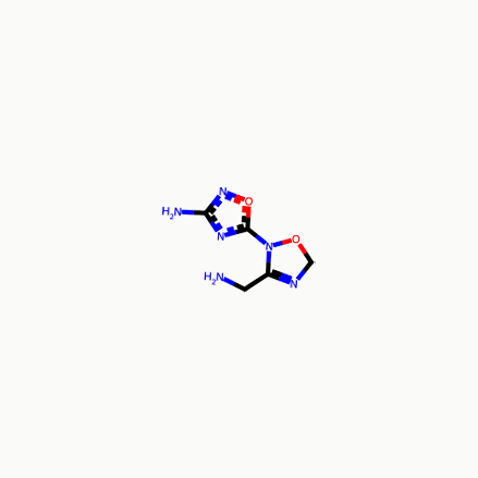 NCC1=N[CH]ON1c1nc(N)no1